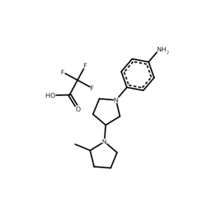 CC1CCCN1C1CCN(c2ccc(N)cc2)C1.O=C(O)C(F)(F)F